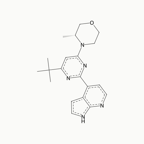 C[C@@H]1COCCN1c1cc(C(C)(C)C)nc(-c2ccnc3[nH]ccc23)n1